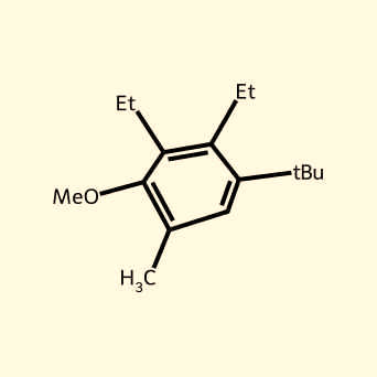 CCc1c(C(C)(C)C)cc(C)c(OC)c1CC